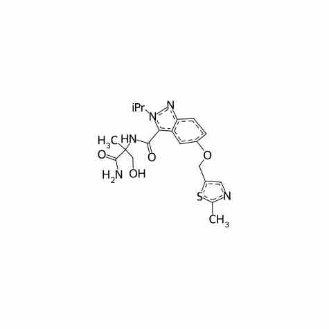 Cc1ncc(COc2ccc3nn(C(C)C)c(C(=O)NC(C)(CO)C(N)=O)c3c2)s1